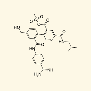 CC(C)CNC(=O)c1ccc(-c2ccc(CO)cc2C(=O)Nc2ccc(C(=N)N)cc2)c(C(=O)OS(C)(=O)=O)c1